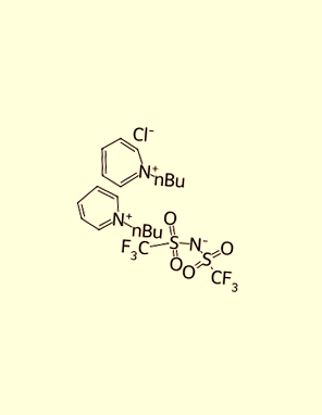 CCCC[n+]1ccccc1.CCCC[n+]1ccccc1.O=S(=O)([N-]S(=O)(=O)C(F)(F)F)C(F)(F)F.[Cl-]